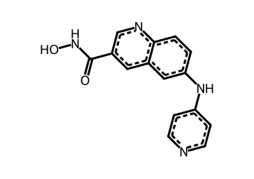 O=C(NO)c1cnc2ccc(Nc3ccncc3)cc2c1